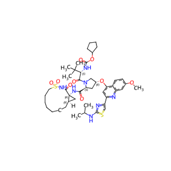 COc1ccc2c(O[C@@H]3C[C@@H](C(=O)N[C@]45C[C@H]4CCCCCCCS(=O)(=O)NC5=O)N(C(=O)[C@@H](NC(=O)OC4CCCC4)C(C)(C)C)C3)cc(-c3csc(NC(C)C)n3)nc2c1